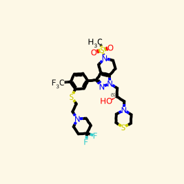 CS(=O)(=O)N1CCc2c(c(-c3ccc(C(F)(F)F)c(SCCN4CCC(F)(F)CC4)c3)nn2C[C@@H](O)CN2CCSCC2)C1